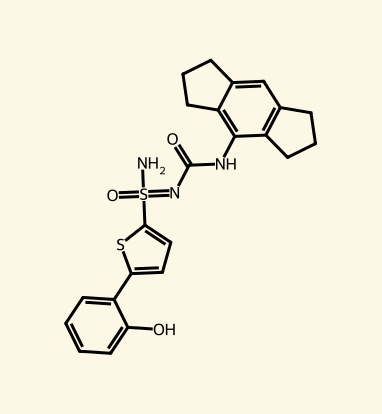 NS(=O)(=NC(=O)Nc1c2c(cc3c1CCC3)CCC2)c1ccc(-c2ccccc2O)s1